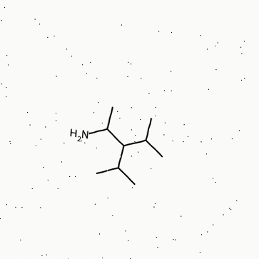 CC(C)C(C(C)C)C(C)N